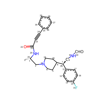 C[C@@H](CN1CCC([C@@H](CNC=O)c2ccc(F)cc2)CC1)NC(=O)C#Cc1ccccc1